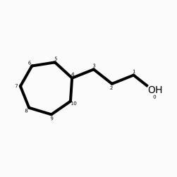 OCCCC1CCCCCC1